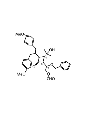 COc1ccc(CC(Cc2ccc(OC)cc2)N2C(=O)[C@H]([C@H](COC=O)OCc3ccccc3)[C@H]2C(C)(C)O)cc1